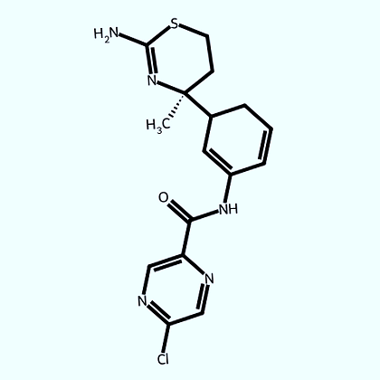 C[C@@]1(C2C=C(NC(=O)c3cnc(Cl)cn3)C=CC2)CCSC(N)=N1